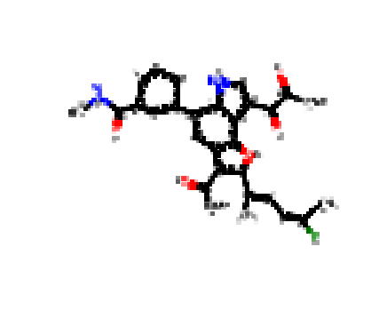 CNC(=O)c1c(/C(C)=C/C=C(\C)F)oc2c1cc(-c1cccc(C(=O)NC(C)(C)C)c1)c1[nH]cc(C(=O)C(=O)OC)c12